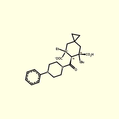 CC[N+]1(C(=O)[O-])CC2(CC2)C[C@](C(=O)O)(C(C)(C)C)[C@H]1C(=O)N1CCN(c2ccccc2)CC1